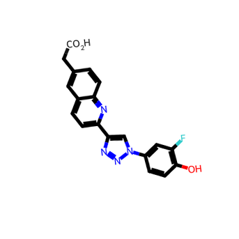 O=C(O)Cc1ccc2nc(-c3cn(-c4ccc(O)c(F)c4)nn3)ccc2c1